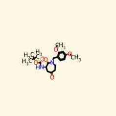 COc1ccc(CN2CCC(=O)C[C@@H](NC(=O)OC(C)(C)C)C2=O)c(OC)c1